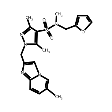 Cc1ccc2nc(Cn3nc(C)c(S(=O)(=O)N(C)Cc4ccco4)c3C)cn2c1